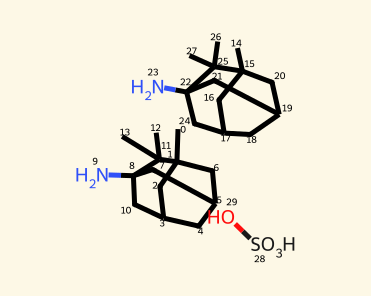 CC12CC3CC(C1)CC(N)(C3)C2(C)C.CC12CC3CC(C1)CC(N)(C3)C2(C)C.O=S(=O)(O)O